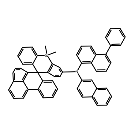 C[Si]1(C)c2ccccc2C2(c3ccccc3-c3cccc4cccc2c34)c2ccc(N(c3ccc4ccccc4c3)c3cccc4c(-c5ccccc5)cccc34)cc21